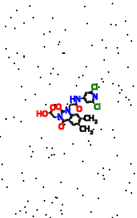 Cc1cc2c(=O)n(CC(=O)O)c(=O)n(CC(=O)Nc3cc(Cl)nc(Cl)c3)c2cc1C